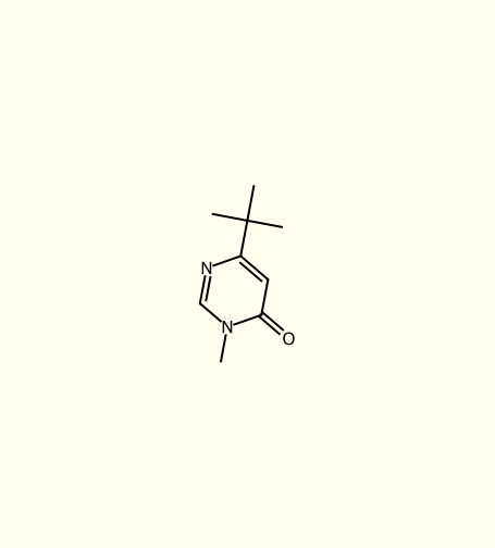 Cn1cnc(C(C)(C)C)cc1=O